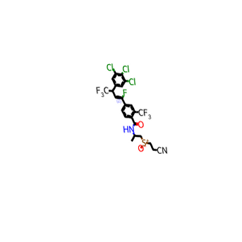 CC(C[S+]([O-])CCC#N)NC(=O)c1ccc(/C(F)=C/C(c2cc(Cl)c(Cl)c(Cl)c2)C(F)(F)F)cc1C(F)(F)F